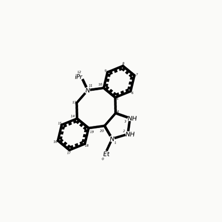 CCN1NNC2c3ccccc3N(C(C)C)Cc3ccccc3C21